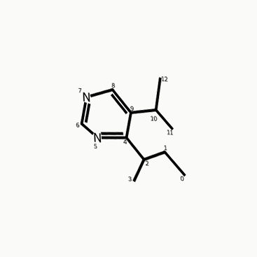 CCC(C)c1ncncc1C(C)C